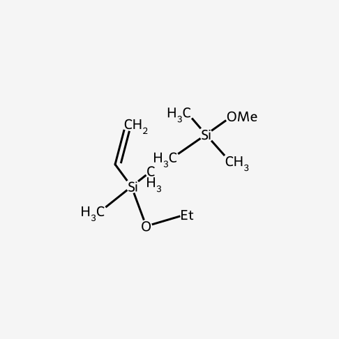 C=C[Si](C)(C)OCC.CO[Si](C)(C)C